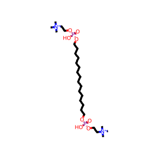 C[N+](C)(C)CCOP(=O)(O)OCCCCCCCCCCCCCCCCOP(=O)(O)OCC[N+](C)(C)C